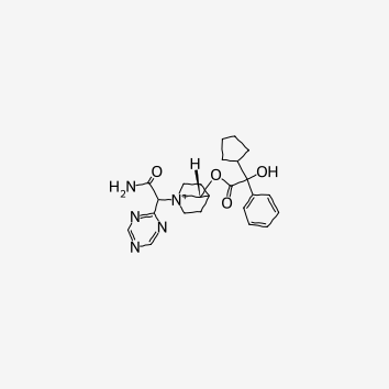 NC(=O)C(c1ncncn1)[N+]12CCC(CC1)[C@@H](OC(=O)C(O)(c1ccccc1)C1CCCC1)C2